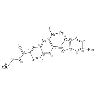 CC(C)N(C)c1nc2cc(C(=O)SCC(C)(C)C)ccc2nc1-c1cc2cc(F)ccc2o1